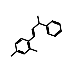 Cc1ccc(C=CC(C)c2ccccc2)c(C)c1